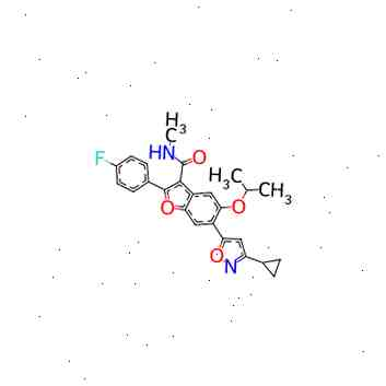 CNC(=O)c1c(-c2ccc(F)cc2)oc2cc(-c3cc(C4CC4)no3)c(OC(C)C)cc12